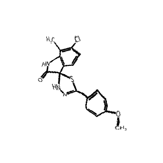 COc1ccc(C2=NNC3(S2)C(=O)Nc2c3ccc(Cl)c2C)cc1